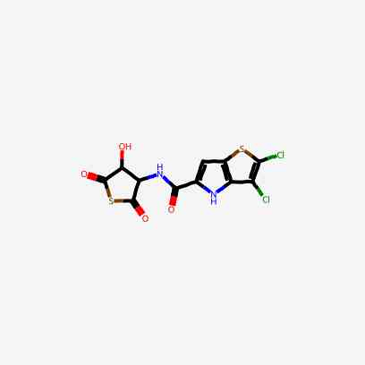 O=C(NC1C(=O)SC(=O)C1O)c1cc2sc(Cl)c(Cl)c2[nH]1